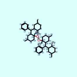 CC1CCC(C(C)C)C(C(c2ccccc2)C2CC(C)CCC2(OOC2(C(C)C)CCC(C)CC2C(c2ccccc2)C2CC(C)CCC2C(C)C)C(C)C)C1